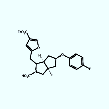 CCOC(=O)c1cc(CC2[C@H]3C[C@@H](Oc4ccc(F)cc4)C[C@H]3CN2C(=O)O)on1